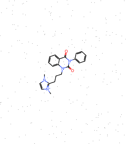 Cn1cc[n+](C)c1CCCn1c(=O)n(-c2ccccc2)c(=O)c2ccccc21